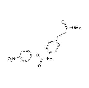 COC(=O)CCc1ccc(NC(=O)Oc2ccc([N+](=O)[O-])cc2)cc1